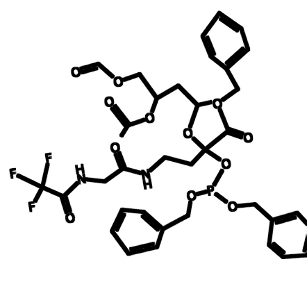 CC(=O)OC(COC=O)CC(C)OC(CCNC(=O)CNC(=O)C(F)(F)F)(OP(OCc1ccccc1)OCc1ccccc1)C(=O)OCc1ccccc1